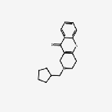 O=c1c2c(sc3ccccc13)CCN(CC1CCCC1)C2